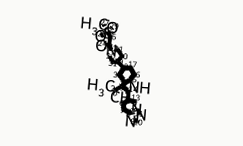 CC(C)c1c(-c2ccc3ncnn3c2)[nH]c2ccc(C3CCN(C(=O)CS(C)(=O)=O)CC3)cc12